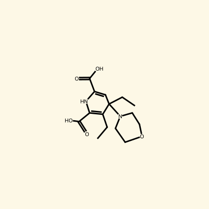 CCC1=C(C(=O)O)NC(C(=O)O)=CC1(CC)N1CCOCC1